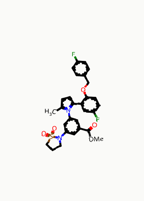 COC(=O)c1cc(N2CCCS2(=O)=O)cc(-n2c(C)ccc2-c2cc(F)ccc2OCc2ccc(F)cc2)c1